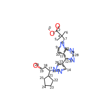 COC(=O)C(C)(C)Cn1ccc2c(-c3cnn(C(CC=O)C4CCCC4)c3)ncnc21